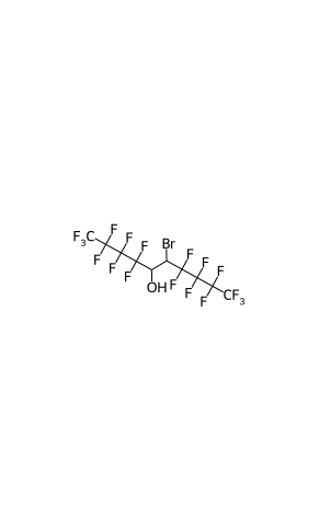 OC(C(Br)C(F)(F)C(F)(F)C(F)(F)C(F)(F)F)C(F)(F)C(F)(F)C(F)(F)C(F)(F)F